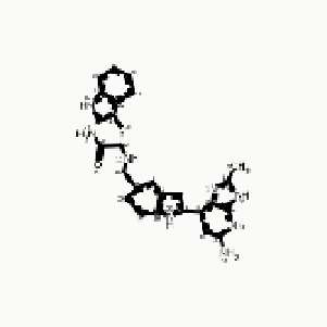 Cc1nc2c(-c3cc4cc(CN[C@@H](Cc5c[nH]c6ccccc56)C(N)=O)ccc4[nH]3)cc(N)nc2[nH]1